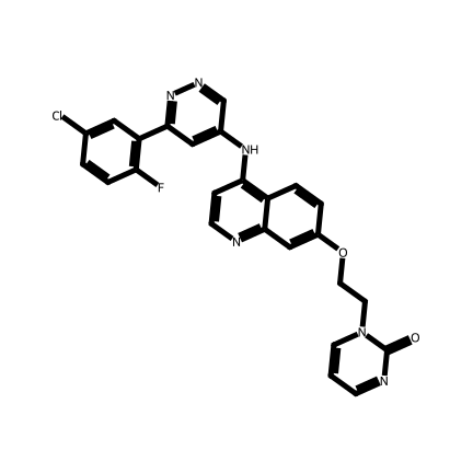 O=c1ncccn1CCOc1ccc2c(Nc3cnnc(-c4cc(Cl)ccc4F)c3)ccnc2c1